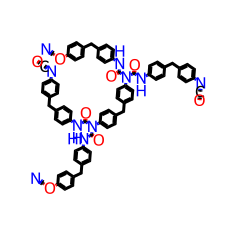 N#COc1ccc(Cc2ccc(NC(=O)N(C(=O)Nc3ccc(Cc4ccc(N=C=O)cc4)cc3)c3ccc(Cc4ccc(N(C(=O)Nc5ccc(Cc6ccc(N=C=O)cc6)cc5)C(=O)Nc5ccc(Cc6ccc(OC#N)cc6)cc5)cc4)cc3)cc2)cc1